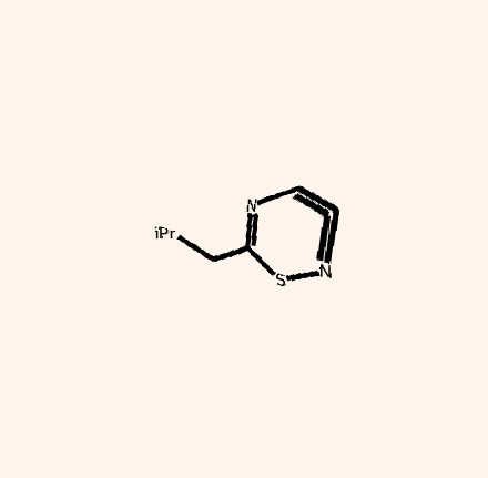 CC(C)CC1=NC=C=NS1